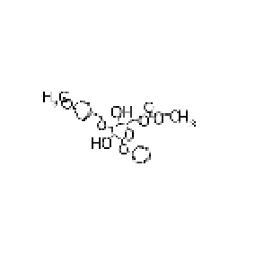 CCOC(=O)OC[C@H]1O[C@@H](Oc2ccccc2)[C@H](O)[C@@H](OCc2ccc(OC)cc2)[C@@H]1O